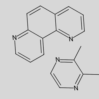 Cc1nccnc1C.c1cnc2c(c1)ccc1ncccc12